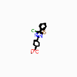 COC(=O)C1CCC(c2nc(Cl)c3c(n2)sc2ccccc23)CC1